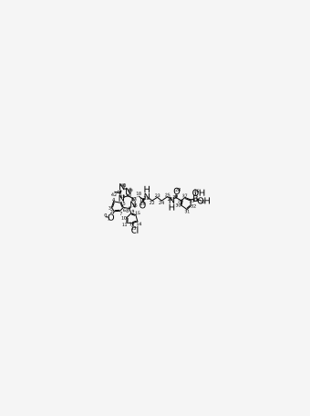 COc1ccc2c(c1)C(c1ccc(Cl)cc1)=N[C@@H](CC(=O)NCCCCNC(=O)c1cccc(B(O)O)c1)c1nnc(C)n1-2